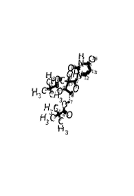 CC(C)(C)C(=O)OC[C@H]1OC(n2ccc(=O)[nH]c2=O)[C@@](C)(O)[C@@H]1OC(=O)C(C)(C)C